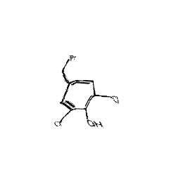 CC(C)Cc1cc(Cl)c(O)c(Cl)c1